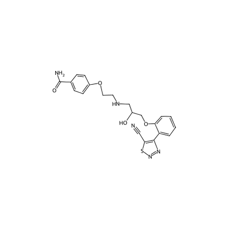 N#Cc1snnc1-c1ccccc1OCC(O)CNCCOc1ccc(C(N)=O)cc1